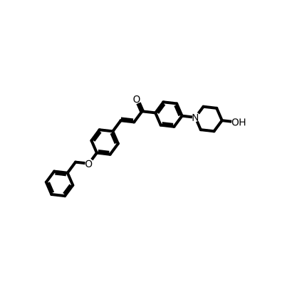 O=C(C=Cc1ccc(OCc2ccccc2)cc1)c1ccc(N2CCC(O)CC2)cc1